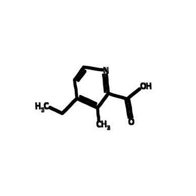 CCc1ccnc(C(=O)O)c1C